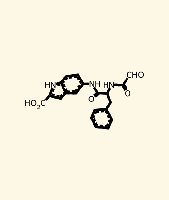 O=CC(=O)NC(Cc1ccccc1)C(=O)Nc1ccc2[nH]c(C(=O)O)cc2c1